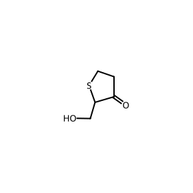 O=C1CCSC1CO